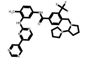 Cc1ccc(NC(=O)c2ccc(CN3CCCC3N3CCCC3)c(C(F)(F)F)c2)cc1Nc1nccc(-c2cncnc2)n1